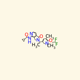 CC1=C(OCC(F)F)N(C)CC(C(C)N2Cc3c(ccnc3NC(=O)C3CC3)C2=O)=C1